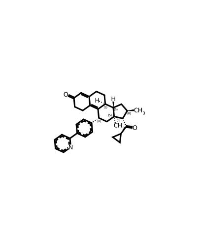 C[C@@H]1C[C@H]2[C@@H]3CCC4=CC(=O)CCC4=C3[C@@H](c3ccc(-c4ccccn4)cc3)C[C@]2(C)[C@H]1C(=O)C1CC1